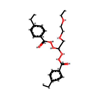 [CH2]COCCOC[C](OOC(=O)c1ccc(CC)cc1)OOC(=O)c1ccc(CC)cc1